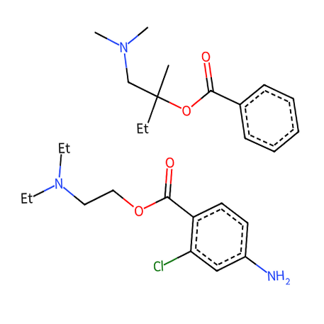 CCC(C)(CN(C)C)OC(=O)c1ccccc1.CCN(CC)CCOC(=O)c1ccc(N)cc1Cl